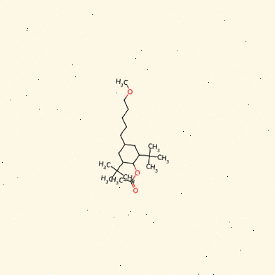 COCCCCCC1CC(C(C)(C)C)C(OC(C)=O)C(C(C)(C)C)C1